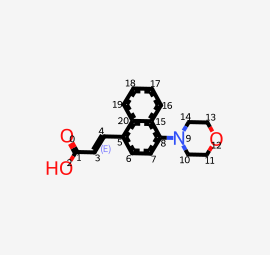 O=C(O)/C=C/c1ccc(N2CCOCC2)c2ccccc12